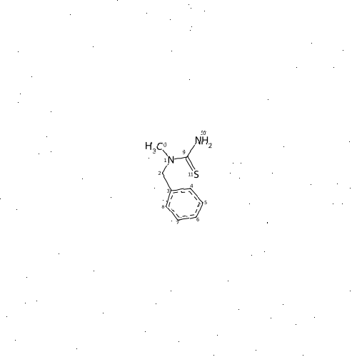 CN(Cc1ccccc1)C(N)=S